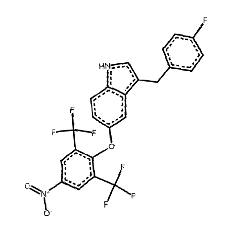 O=[N+]([O-])c1cc(C(F)(F)F)c(Oc2ccc3[nH]cc(Cc4ccc(F)cc4)c3c2)c(C(F)(F)F)c1